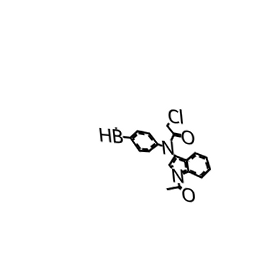 CBc1ccc(N(C(=O)CCl)c2cn(C(C)=O)c3ccccc23)cc1